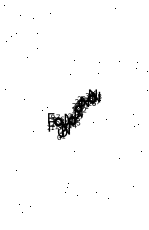 CCO/N=C(\c1ccc(F)c(F)c1)c1ccc(CN2CCC3(CCN(c4ccnnc4)C3)C2)cn1